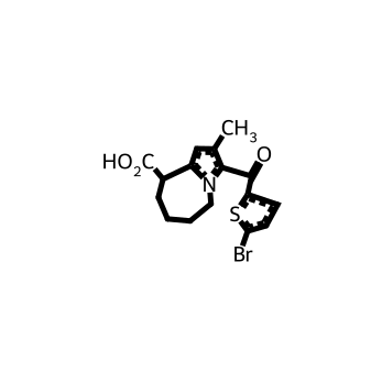 Cc1cc2n(c1C(=O)c1ccc(Br)s1)CCCCC2C(=O)O